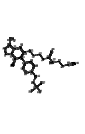 Cn1ccc2c(=O)n(-c3ccc(OCC(F)(F)F)cc3)c(SCCCC(=O)NCCC#N)nc21